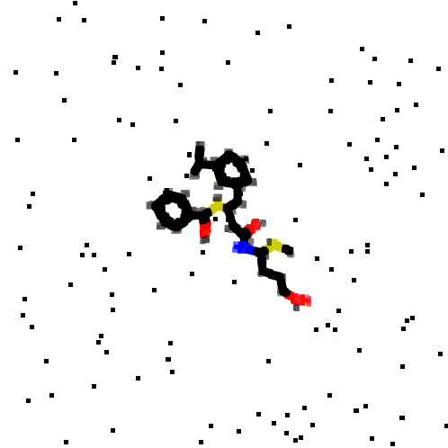 CSC(CCCO)NC(=O)CC(Cc1cccc(C(C)C)c1)SC(=O)c1ccccc1